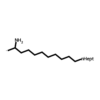 [CH2]C(N)CCCCCCCCCCCCCCCC